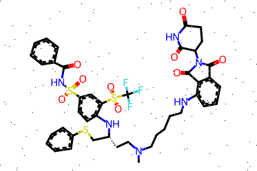 CN(CCCCCNc1cccc2c1C(=O)N(C1CCC(=O)NC1=O)C2=O)CC[C@H](CSc1ccccc1)Nc1ccc(S(=O)(=O)NC(=O)c2ccccc2)cc1S(=O)(=O)C(F)(F)F